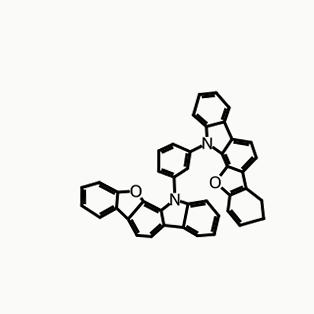 C1=Cc2oc3c(ccc4c5ccccc5n(-c5cccc(-n6c7ccccc7c7ccc8c9ccccc9oc8c76)c5)c43)c2CC1